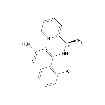 Cc1cccc2nc(N)nc(N[C@H](C)c3ccccn3)c12